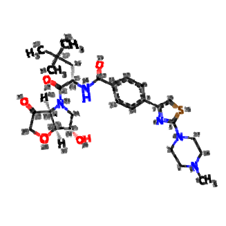 CN1CCN(c2nc(-c3ccc(C(=O)N[C@@H](CC(C)(C)C)C(=O)N4C[C@H](O)[C@H]5OCC(=O)[C@H]54)cc3)cs2)CC1